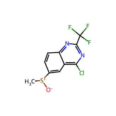 C[S+]([O-])c1ccc2nc(C(F)(F)F)nc(Cl)c2c1